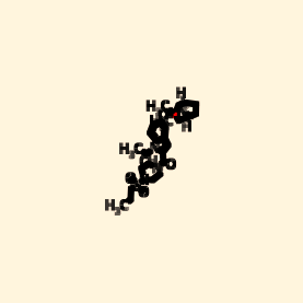 CCCS(=O)(=O)N1CCN(C(=O)c2cc3cc(O[C@H]4C[C@H]5CC[C@@H](C4)N5C(C)C)ccc3n2C(C)C)CC1